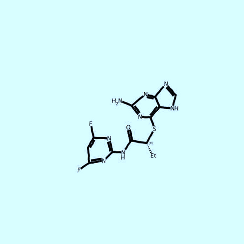 CC[C@@H](Sc1nc(N)nc2nc[nH]c12)C(=O)Nc1nc(F)cc(F)n1